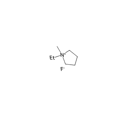 CC[N+]1(C)CCCC1.[F-]